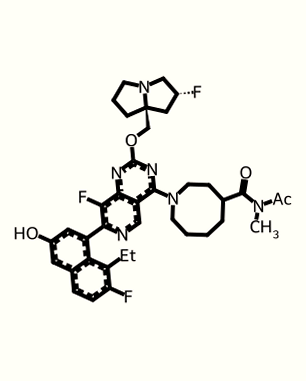 CCc1c(F)ccc2cc(O)cc(-c3ncc4c(N5CCCCC(C(=O)N(C)C(C)=O)CC5)nc(OC[C@@]56CCCN5C[C@H](F)C6)nc4c3F)c12